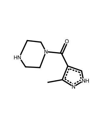 Cc1n[nH]cc1C(=O)N1CCNCC1